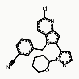 N#Cc1cccc(Cn2c(-c3ccnn3C3CCCCO3)cc3nc(Cl)ccc32)c1